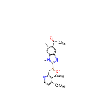 COC(=O)c1cc2nc([S+]([O-])Cc3nccc(OC)c3OC)n(C)c2cc1C